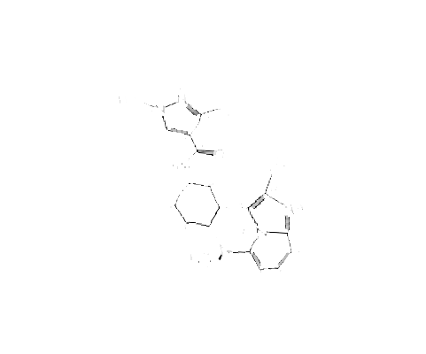 Cn1cc(C(=O)N[C@H]2CC[C@@H](N(C)c3cccc4nc(C(F)(F)F)cn34)CC2)c(C(F)(F)F)n1